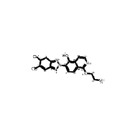 Oc1c(-n2nc3c(n2)CC(Cl)C(Cl)=C3)ccc2c(OCCS)nccc12